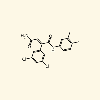 Cc1ccc(NC(=O)C(=CC(N)=O)c2cc(Cl)cc(Cl)c2)cc1C